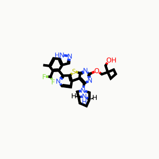 Cc1cc2[nH]ncc2c(-c2nccc3c2sc2nc(OCC4(CO)CCC4)nc(N4C[C@H]5CC[C@@H](C4)N5)c23)c1C(F)F